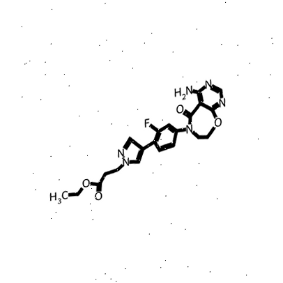 CCOC(=O)CCn1cc(-c2ccc(N3CCOc4ncnc(N)c4C3=O)cc2F)cn1